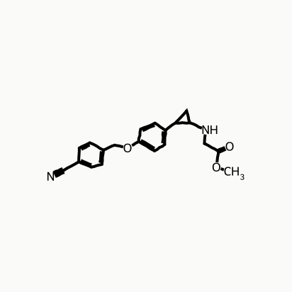 COC(=O)CNC1CC1c1ccc(OCc2ccc(C#N)cc2)cc1